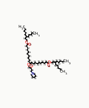 CCCCCC(CCCCC)CCOC(=O)CCCCCCCCCC1(CCCCCCCCCC(=O)OCCC(CCCCC)CCCCC)OCC(CCN2CCCCC2)O1